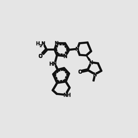 CN1CCN([C@@H]2CCCN(c3cnc(C(N)=O)c(Nc4ccc5c(c4)CCNC5)n3)C2)C1=O